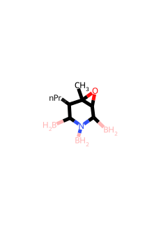 BC1C(CCC)C2(C)OC2C(B)N1B